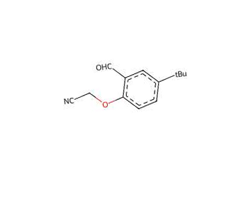 CC(C)(C)c1ccc(OCC#N)c(C=O)c1